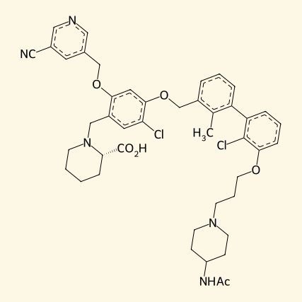 CC(=O)NC1CCN(CCCOc2cccc(-c3cccc(COc4cc(OCc5cncc(C#N)c5)c(CN5CCCC[C@H]5C(=O)O)cc4Cl)c3C)c2Cl)CC1